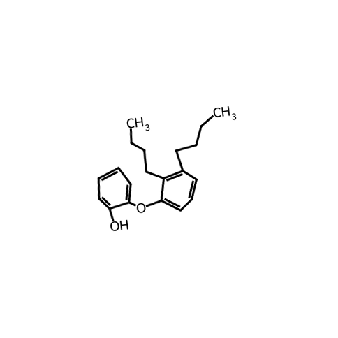 CCCCc1cccc(Oc2ccccc2O)c1CCCC